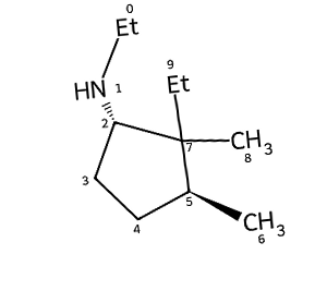 CCN[C@H]1CC[C@H](C)C1(C)CC